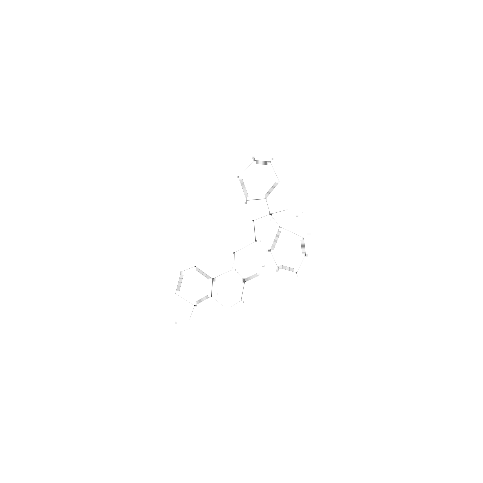 CC(=O)Oc1cccc2c1OCC(=O)N2CCCC(C)(c1ccccc1)c1ccccc1